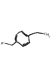 CCc1ccc(CF)cc1